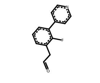 O=CCc1cccc(-c2ccncc2)c1F